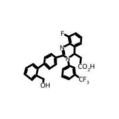 O=C(O)CC1c2cccc(F)c2N=C(c2ccc(-c3ccccc3CO)cc2)N1c1cccc(C(F)(F)F)c1